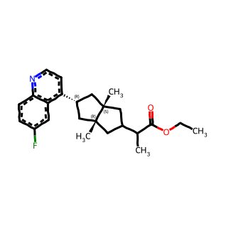 CCOC(=O)C(C)C1C[C@@]2(C)C[C@@H](c3ccnc4ccc(F)cc34)C[C@@]2(C)C1